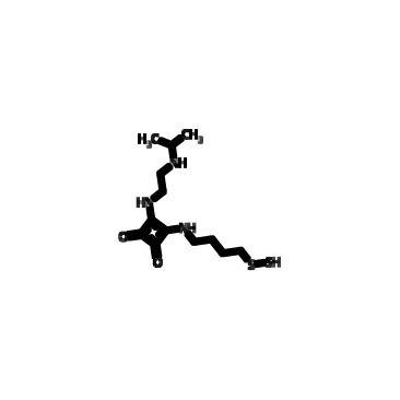 CC(C)NCCNc1c(NCCCCSS)c(=O)c1=O